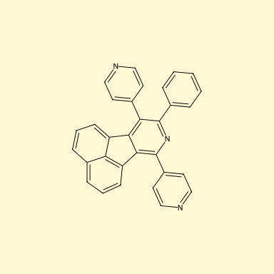 c1ccc(-c2nc(-c3ccncc3)c3c(c2-c2ccncc2)-c2cccc4cccc-3c24)cc1